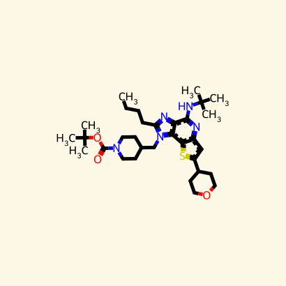 CCCCc1nc2c(NC(C)(C)C)nc3cc(C4CCOCC4)sc3c2n1CC1CCN(C(=O)OC(C)(C)C)CC1